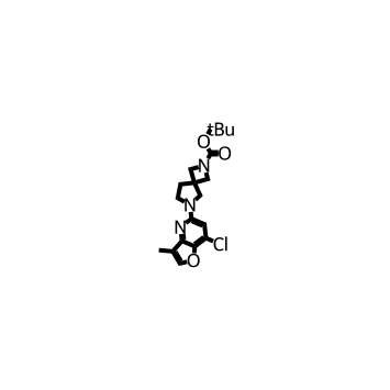 Cc1coc2c(Cl)cc(N3CCC4(CN(C(=O)OC(C)(C)C)C4)C3)nc12